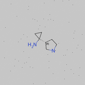 NC1([C@@H]2CC[N]C2)CC1